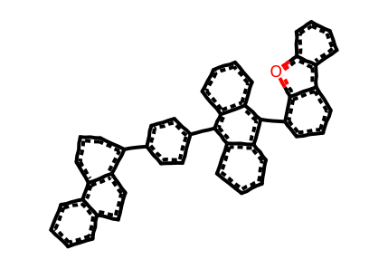 c1ccc2c(c1)ccc1c(-c3ccc(-c4c5ccccc5c(-c5cccc6c5oc5ccccc56)c5ccccc45)cc3)cccc12